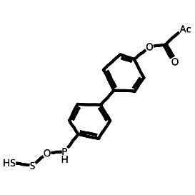 CC(=O)C(=O)Oc1ccc(-c2ccc(POSS)cc2)cc1